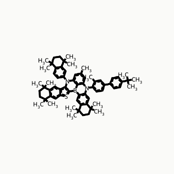 Cc1cc2c3c(c1)N(c1ccc4c(c1)C(C)(C)CCC4(C)C)c1c(sc4cc5c(cc14)C(C)(C)CCC5(C)C)B3c1cc3c(cc1N2c1ccc(-c2ccc(C(C)(C)C)cc2)cc1C)C(C)(C)CCC3(C)C